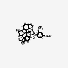 COc1ccc(S(=O)(=O)N2C(=O)C(c3cccc4c3OCC4)(N3C[C@H](F)C[C@H]3C(=O)N(C)C)c3cc(Cl)ccc32)c(OC(F)(F)F)c1